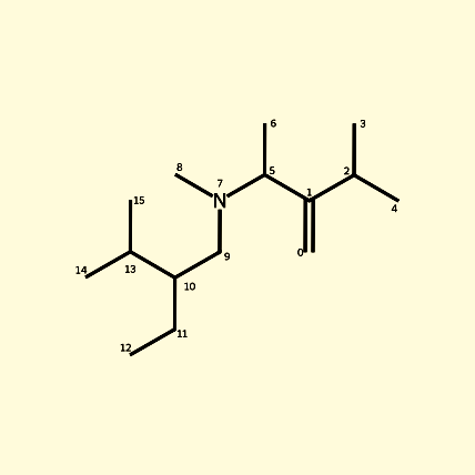 C=C(C(C)C)C(C)N(C)CC(CC)C(C)C